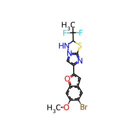 COc1cc2oc(-c3cn4c(n3)SC(C(C)(F)F)N4)cc2cc1Br